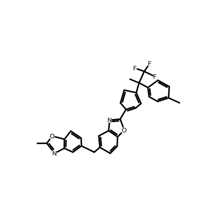 Cc1ccc(C(C)(c2ccc(-c3nc4cc(Cc5ccc6oc(C)nc6c5)ccc4o3)cc2)C(F)(F)F)cc1